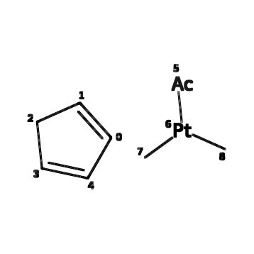 C1=CCC=C1.C[C](=O)[Pt]([CH3])[CH3]